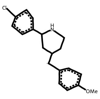 COc1ccc([CH]C2CCNC(c3ccc(Cl)cc3)C2)cc1